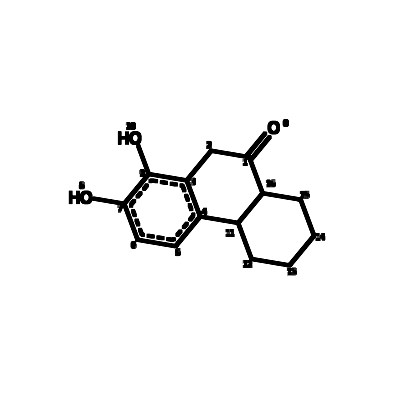 O=C1Cc2c(ccc(O)c2O)C2CCCCC12